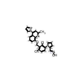 Cc1cc(-n2cccn2)c2cccc(OCc3c(Cl)ccc(-n4cccc4/C=N/O)c3Cl)c2n1